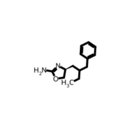 CCC(Cc1ccccc1)C[C@H]1COC(N)=N1